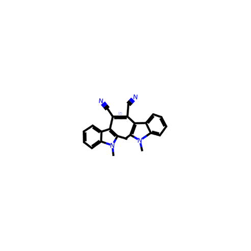 Cc1c(/C(C#N)=C(/C#N)c2c(C)n(C)c3ccccc23)c2ccccc2n1C